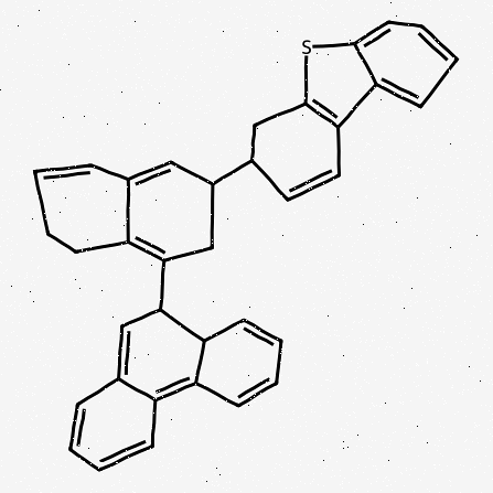 C1=CC2=c3ccccc3=CC(C3=C4CCC=CC4=CC(C4C=Cc5c(sc6ccccc56)C4)C3)C2C=C1